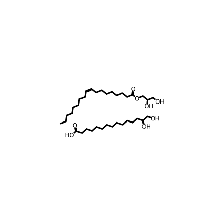 CCCCCCCC/C=C\CCCCCCCC(=O)OCC(O)CO.O=C(O)CCCCCCCCCCCCC(O)CO